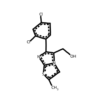 Cc1cn2c(CO)c(-c3ccc(Cl)cc3Cl)nc2s1